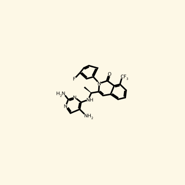 C[C@H](Nc1nc(N)ncc1N)c1cc2cccc(C(F)(F)F)c2c(=O)n1-c1cccc(F)c1